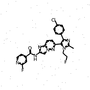 Cc1nc(-c2ccc(Cl)cc2)c(-c2ccc3nc(NC(=O)c4ccnc(F)c4)cn3n2)n1CCF